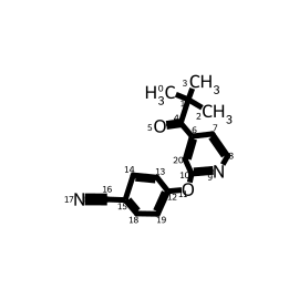 CC(C)(C)C(=O)c1ccnc(Oc2ccc(C#N)cc2)c1